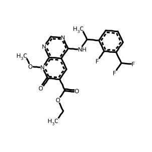 CCOC(=O)c1cc2c(NC(C)c3cccc(C(F)F)c3F)ncnc2n(OC)c1=O